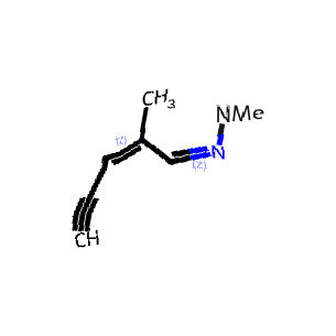 C#C/C=C(C)\C=N/NC